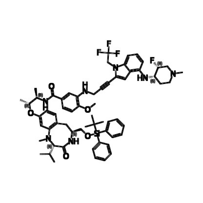 COc1ccc(C(=O)N[C@H](C)[C@@H](C)Oc2ccc3c(c2)N(C)[C@@H](C(C)C)C(=O)N[C@H](CO[Si](c2ccccc2)(c2ccccc2)C(C)(C)C)C3)cc1NCC#Cc1cc2c(N[C@H]3CCN(C)C[C@H]3F)cccc2n1CC(F)(F)F